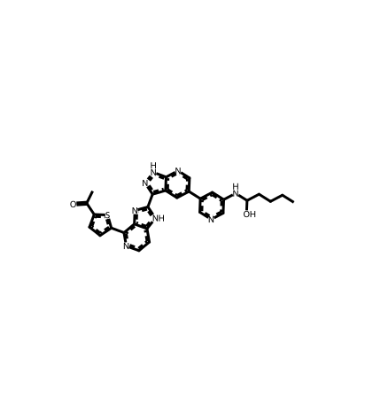 CCCCC(O)Nc1cncc(-c2cnc3[nH]nc(-c4nc5c(-c6ccc(C(C)=O)s6)nccc5[nH]4)c3c2)c1